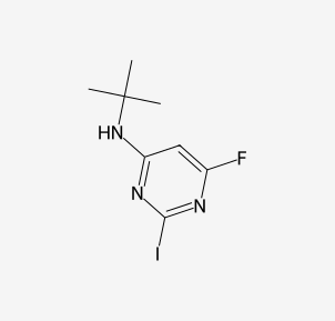 CC(C)(C)Nc1cc(F)nc(I)n1